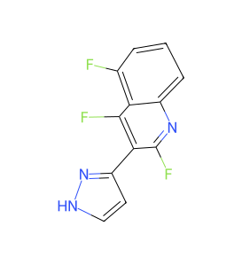 Fc1nc2cccc(F)c2c(F)c1-c1cc[nH]n1